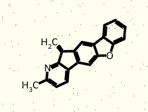 C=C1c2cc3c(cc2-c2ccc(C)nc21)oc1ccccc13